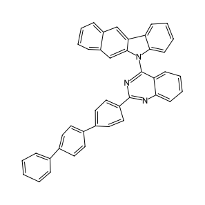 c1ccc(-c2ccc(-c3ccc(-c4nc(-n5c6ccccc6c6cc7ccccc7cc65)c5ccccc5n4)cc3)cc2)cc1